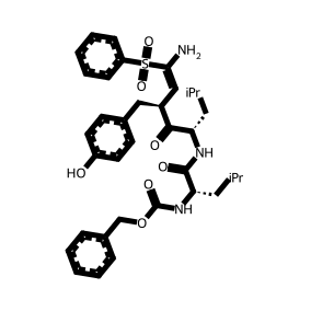 CC(C)C[C@H](NC(=O)OCc1ccccc1)C(=O)N[C@@H](CC(C)C)C(=O)[C@H](C=C(N)S(=O)(=O)c1ccccc1)Cc1ccc(O)cc1